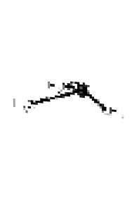 C=CCN.CCCCCCCCCCCCCCCCCCCCCOS(=O)(=O)C(F)CCCCCCCCCCC